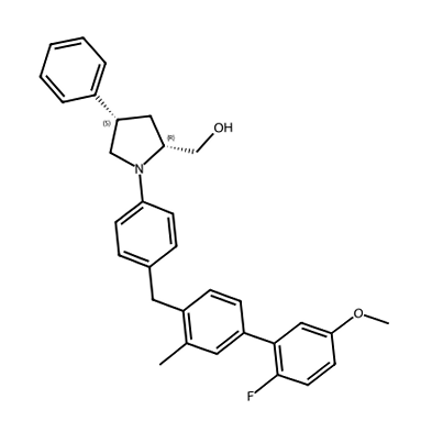 COc1ccc(F)c(-c2ccc(Cc3ccc(N4C[C@H](c5ccccc5)C[C@@H]4CO)cc3)c(C)c2)c1